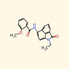 CCN1C(=O)c2cccc3c(NC(=O)c4ccccc4OC)ccc1c23